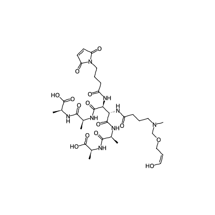 C[C@H](NC(=O)[C@H](C)NC(=O)[C@@H](NC(=O)CCCN(C)COC/C=C\O)[C@H](NC(=O)CCCN1C(=O)C=CC1=O)C(=O)N[C@@H](C)C(=O)N[C@@H](C)C(=O)O)C(=O)O